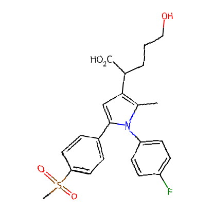 Cc1c(C(CCCO)C(=O)O)cc(-c2ccc(S(C)(=O)=O)cc2)n1-c1ccc(F)cc1